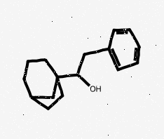 OC(Cc1ccccc1)C12CCCC(CC1)C2